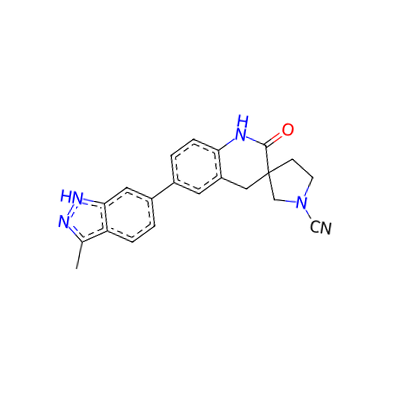 Cc1n[nH]c2cc(-c3ccc4c(c3)CC3(CCN(C#N)C3)C(=O)N4)ccc12